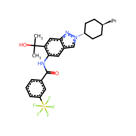 CC(C)[C@H]1CC[C@H](n2cc3cc(NC(=O)c4cccc(S(F)(F)(F)(F)F)c4)c(C(C)(C)O)cc3n2)CC1